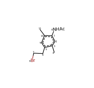 CC(=O)Nc1cc(C)c(CCBr)cc1C